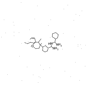 C/C=C\C1=C(CCC)OCCC(C)(C2CCCC(C(N)NC(N)C3CCCCC3)C2)C1C